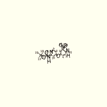 CNc1ccc(Oc2ccnc(NC(=O)OC(C)(C)C)c2)cc1[N+](=O)[O-]